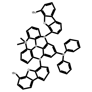 CC(C)(C)c1cccc2c1oc1c(N3c4cc(N(c5ccccc5)c5ccccc5)cc5c4B4c6c3cccc6[Si](C)(C)c3cccc(c34)N5c3cccc4c3oc3c(C(C)(C)C)cccc34)cccc12